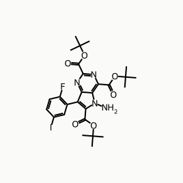 CC(C)(C)OC(=O)c1nc(C(=O)OC(C)(C)C)c2c(n1)c(-c1cc(I)ccc1F)c(C(=O)OC(C)(C)C)n2N